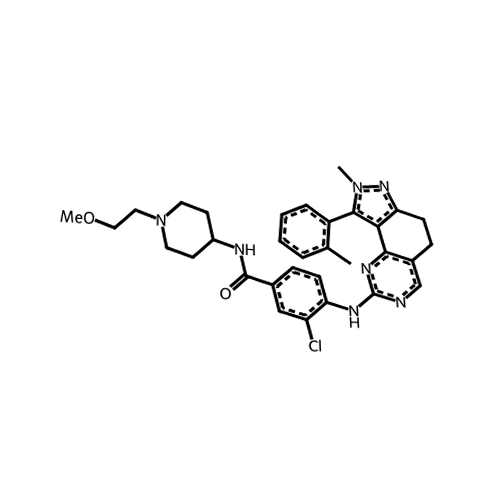 COCCN1CCC(NC(=O)c2ccc(Nc3ncc4c(n3)-c3c(nn(C)c3-c3ccccc3C)CC4)c(Cl)c2)CC1